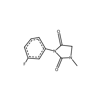 CN1CC(=O)N(c2cccc(F)c2)C1=O